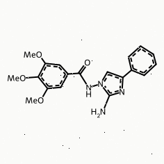 COc1cc(C(=O)Nn2cc(-c3ccccc3)nc2N)cc(OC)c1OC